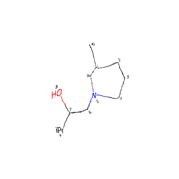 CC1CCCN(CC(O)C(C)C)C1